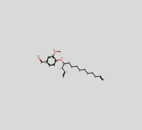 C=CCCCCCCCCC(CC=C)Oc1ccc(C=O)cc1OC